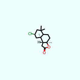 CC1(C)C[C@H](Cl)C[C@@]2(C)C1CC[C@@]1(C)OC(=O)C[C@@H]12